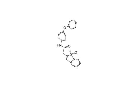 O=C(CN1Cc2ccccc2S1(=O)=O)Nc1ccc(Oc2ccccc2)cc1